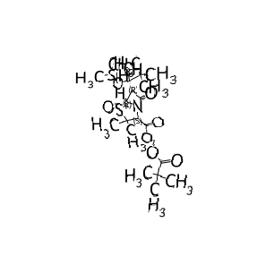 C[SiH](C)OC(C)([C@@H]1C(=O)N2[C@@H]1[S+]([O-])C(C)(C)[C@@H]2C(=O)OCOC(=O)C(C)(C)C)C(C)(C)C